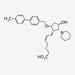 Cc1ccc(-c2ccc(CO[C@H]3C[C@@H](O)[C@H](N4CCCCC4)[C@H]3C/C=C\CCCC(=O)O)cc2)cc1